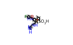 Cc1ccc(S(=O)(=O)O)cc1.Cc1sc2ccc(NC(=O)c3ccc(F)cc3)cc2c1CCNCc1c[nH]nn1